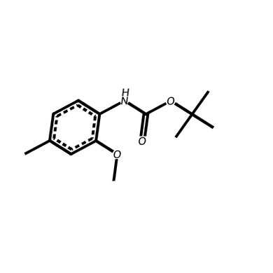 COc1cc(C)ccc1NC(=O)OC(C)(C)C